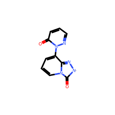 O=C1[N]N=C2C(n3ncccc3=O)=CC=CN12